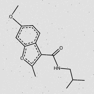 COc1ccc2c(C(=O)NCC(C)C)c(C)oc2c1